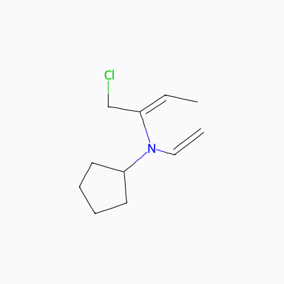 C=CN(/C(=C\C)CCl)C1CCCC1